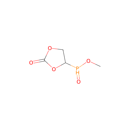 CO[PH](=O)C1COC(=O)O1